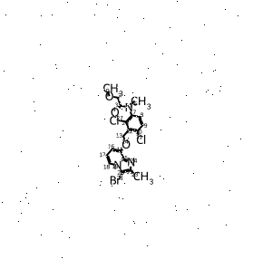 COCC(=O)N(C)c1ccc(Cl)c(COc2cccn3c(Br)c(C)nc23)c1Cl